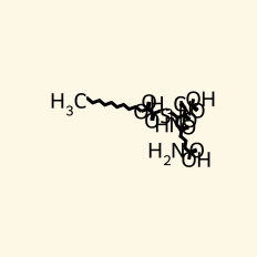 CCCCCCCCCCOC(=O)C(=O)CSCC(NC(=O)CCC(N)C(=O)O)C(=O)N(C)C(=O)O